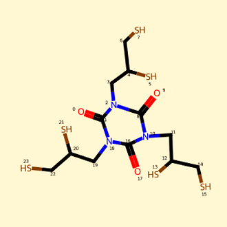 O=c1n(CC(S)CS)c(=O)n(CC(S)CS)c(=O)n1CC(S)CS